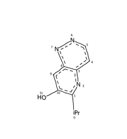 CC(C)c1nc2ccnnc2cc1O